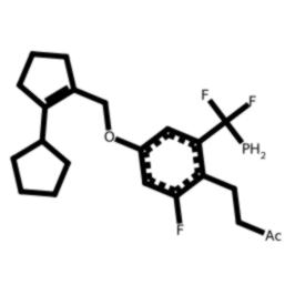 CC(=O)CCc1c(F)cc(OCC2=C(C3CCCC3)CCC2)cc1C(F)(F)P